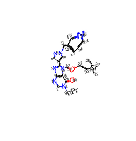 CCCn1cnc2nc(-c3cnn(Cc4cccnc4)c3)n(COCC[Si](C)(C)C)c2c1=O